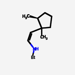 CCN/C=C\C1(C)CCC[C@@H]1C